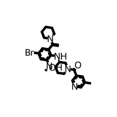 C=C(c1cc(Br)cc(N(C)O)c1N[C@@H]1CCCN(C(=O)c2cncc(C)c2)C1)N1CCCCC1